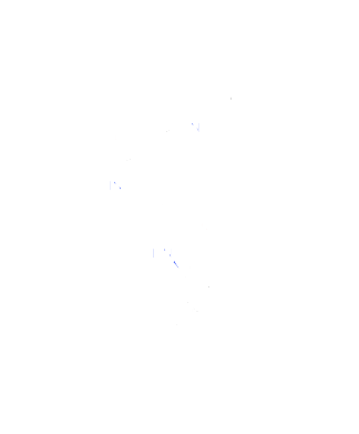 CCNC(=O)c1cc(C(=O)N[C@H]2C[C@@H]2C)c[nH]c1=O